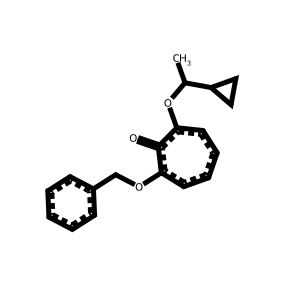 CC(Oc1ccccc(OCc2ccccc2)c1=O)C1CC1